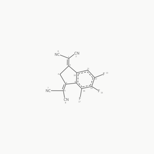 N#CC(C#N)=C1CC(=C(C#N)C#N)c2c1cc(F)c(F)c2F